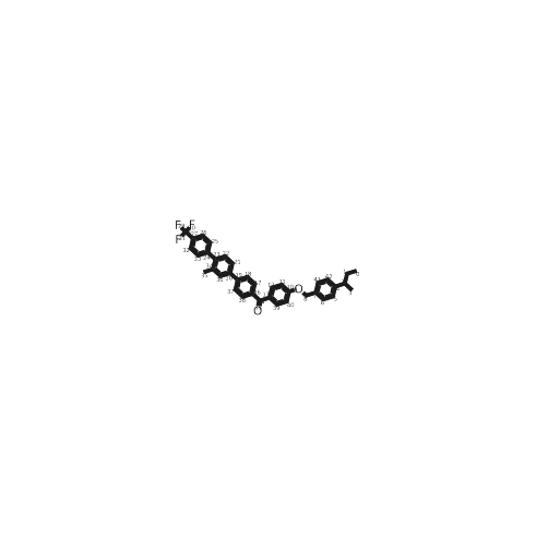 CCC(C)c1ccc(COc2ccc(C(=O)c3ccc(-c4ccc(-c5ccc(C(F)(F)F)cc5)c(C)c4)cc3)cc2)cc1